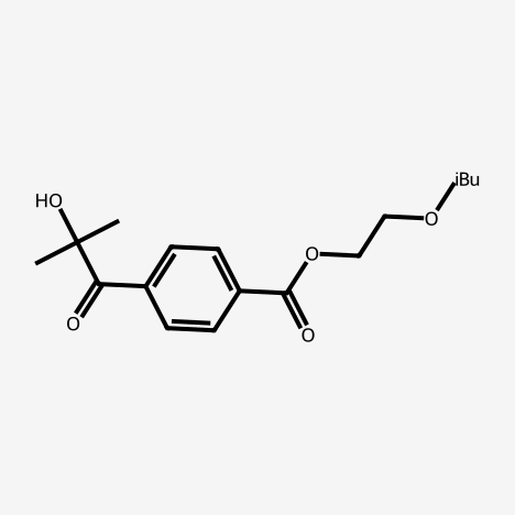 CCC(C)OCCOC(=O)c1ccc(C(=O)C(C)(C)O)cc1